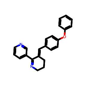 C(=C1CCCN=C1c1cccnc1)c1ccc(Oc2ccccc2)cc1